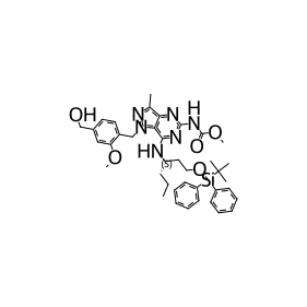 CCC[C@@H](CCO[Si](c1ccccc1)(c1ccccc1)C(C)(C)C)Nc1nc(NC(=O)OC)nc2c(C)nn(Cc3ccc(CO)cc3OC)c12